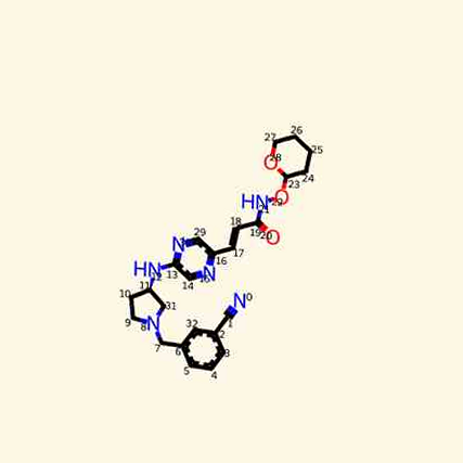 N#Cc1cccc(CN2CC[C@@H](Nc3cnc(C=CC(=O)NOC4CCCCO4)cn3)C2)c1